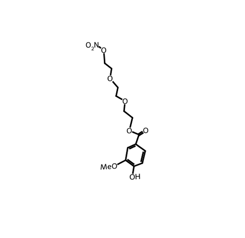 COc1cc(C(=O)OCCOCCOCCO[N+](=O)[O-])ccc1O